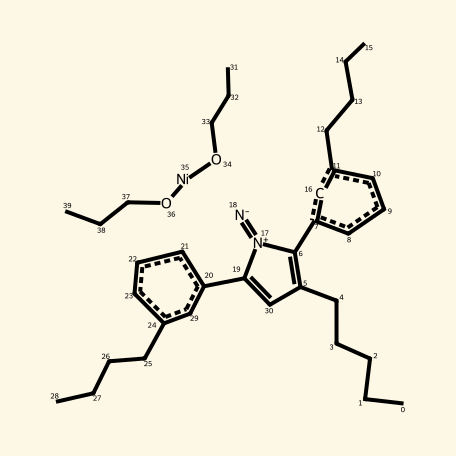 CCCCCC1=C(c2cccc(CCCC)c2)[N+](=[N-])C(c2cccc(CCCC)c2)=C1.CCC[O][Ni][O]CCC